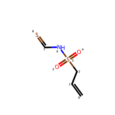 C=CCS(=O)(=O)NC=S